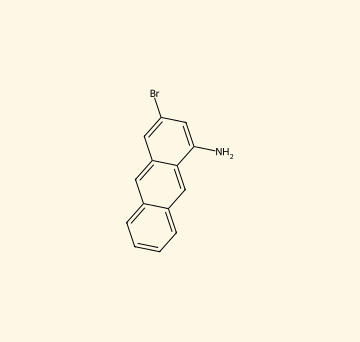 Nc1cc(Br)cc2cc3ccccc3cc12